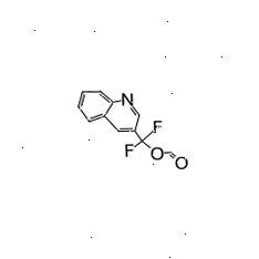 O=COC(F)(F)c1cnc2ccccc2c1